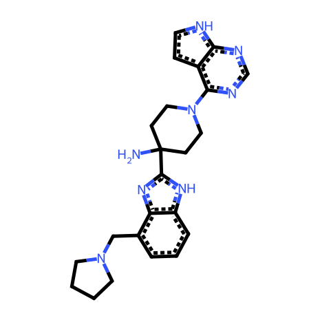 NC1(c2nc3c(CN4CCCC4)cccc3[nH]2)CCN(c2ncnc3[nH]ccc23)CC1